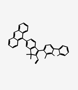 C=CC1=C(c2ccc3c(sc4ccccc43)c2C)c2ccc(-c3c4ccccc4cc4ccccc34)cc2C1(C)C